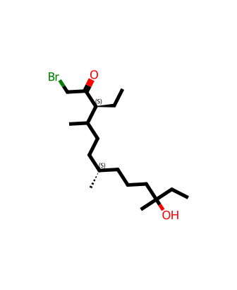 CC[C@H](C(=O)CBr)C(C)CC[C@@H](C)CCCC(C)(O)CC